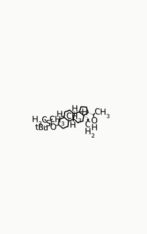 C=C[C@]12CC[C@H]3[C@@H](CC[C@H]4C[C@H](O[Si](C)(C)C(C)(C)C)CC[C@@]43C)[C@@H]1CC[C@@H]2C(C)O